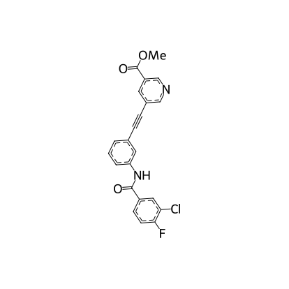 COC(=O)c1cncc(C#Cc2cccc(NC(=O)c3ccc(F)c(Cl)c3)c2)c1